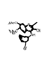 COc1cc2nc(C)c(C#N)c(Nc3cccc(Br)c3)c2cc1OC